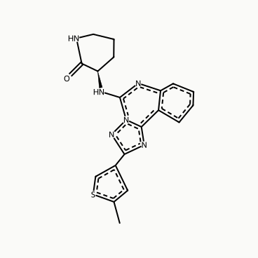 Cc1cc(-c2nc3c4ccccc4nc(N[C@@H]4CCCNC4=O)n3n2)cs1